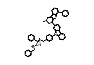 CC1C=c2c(sc3c(-c4ccccc4)cccc23)=C(c2ccc3c4ccccc4n(-c4ccc(C/N=C(\NNCc5ccccc5)c5ccccc5)cc4)c3c2)C1